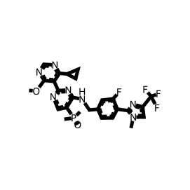 COc1ncnc(C2CC2)c1-c1ncc(P(C)(C)=O)c(NCc2ccc(-c3nc(C(F)(F)F)cn3C)c(F)c2)n1